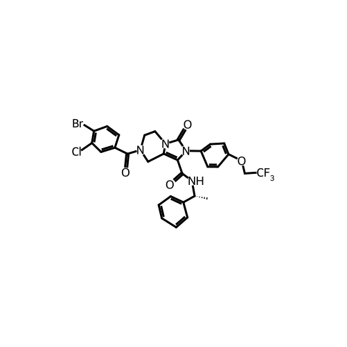 C[C@@H](NC(=O)c1c2n(c(=O)n1-c1ccc(OCC(F)(F)F)cc1)CCN(C(=O)c1ccc(Br)c(Cl)c1)C2)c1ccccc1